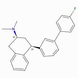 CN(C)[C@@H]1Cc2ccccc2[C@H](c2cccc(-c3ccc(F)cc3)c2)C1